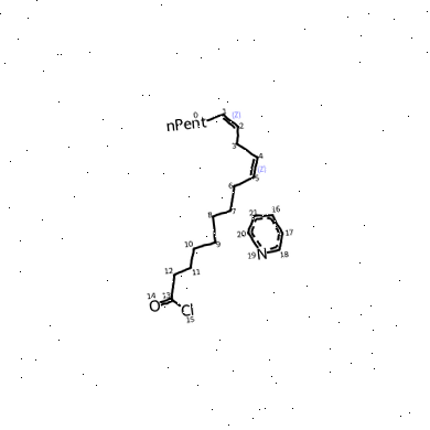 CCCCC/C=C\C/C=C\CCCCCCCC(=O)Cl.c1ccncc1